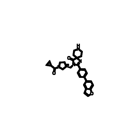 O=C(C1CC1)N1CC[C@@H](CN2C(=O)C3(CCNCC3)N=C2c2ccc(-c3ccc4occc4c3)cc2)C1